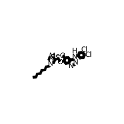 C=CCCCCCCN1CCOC(COc2cc3ncnc(Nc4ccc(Cl)c(Cl)c4)c3cc2OC)C1